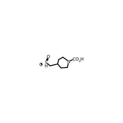 O=C(O)N1CCC(C[SH](=O)=O)CC1